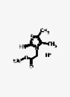 Cc1sc(=N)n(CC(=O)OC(C)(C)C)c1C.[H+]